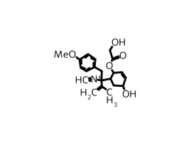 C#[N+]C(Cc1ccc(OC)cc1)(C(=C)C)C1CC(O)C=CC1OC(=O)CO